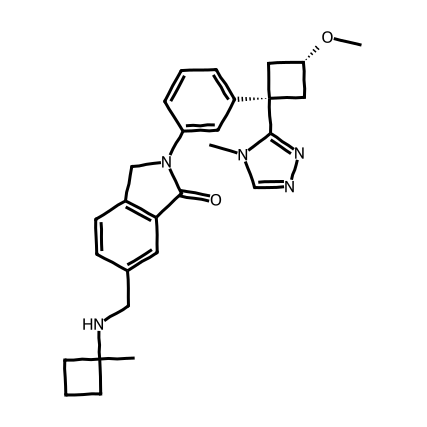 CO[C@H]1C[C@](c2cccc(N3Cc4ccc(CNC5(C)CCC5)cc4C3=O)c2)(c2nncn2C)C1